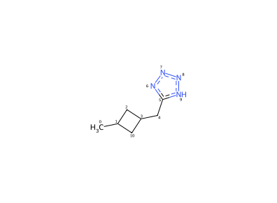 CC1CC(Cc2nnn[nH]2)C1